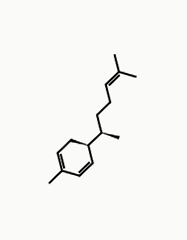 CC(C)=CCC[C@@H](C)[C@H]1C=CC(C)=CC1